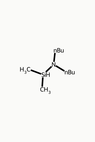 CCCCN(CCCC)[SiH](C)C